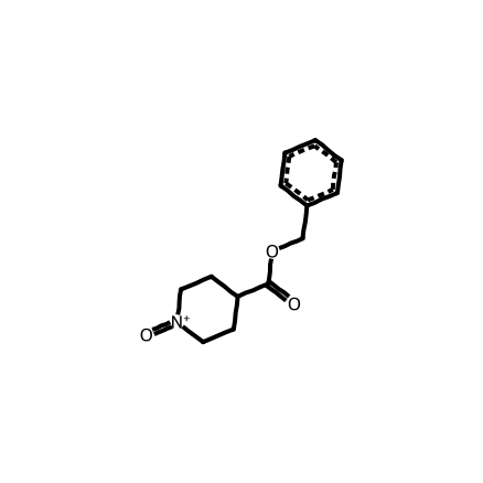 O=C(OCc1ccccc1)C1CC[N+](=O)CC1